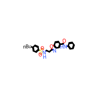 CCCCc1ccc(S(=O)(=O)NCCc2nc3cc(C(=O)Nc4ccccc4)ccc3o2)cc1